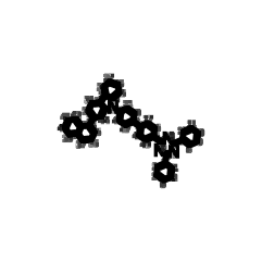 c1ccc(-c2nc(-c3ccccc3)nc(-c3ccc(-c4ccc(-n5c6ccccc6c6ccc(-c7cccc8ccccc78)cc65)cc4)cc3)n2)cc1